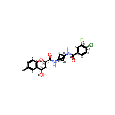 Cc1ccc2c(c1)[C@H](O)C[C@H](C(=O)NC13CC(NC(=O)c4ccc(Cl)c(F)c4)(C1)C3)O2